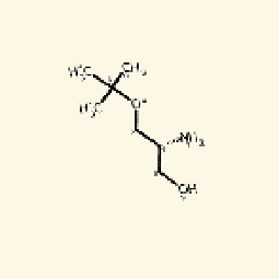 CC(C)(C)OC[C@H](N)CO